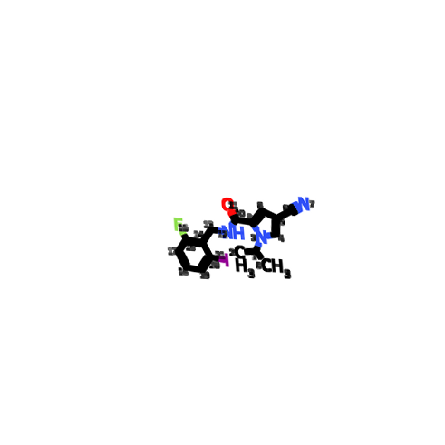 CC(C)n1cc(C#N)cc1C(=O)NCc1c(F)cccc1I